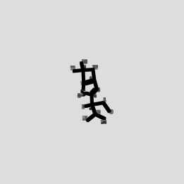 CCC(C)(c1cc2c(s1)C(C)(C)C2)C(C)C